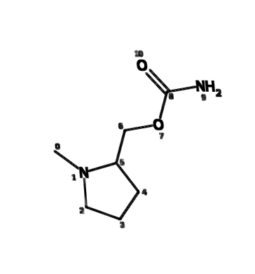 CN1CCCC1COC(N)=O